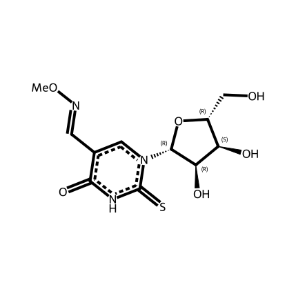 CON=Cc1cn([C@@H]2O[C@H](CO)[C@@H](O)[C@H]2O)c(=S)[nH]c1=O